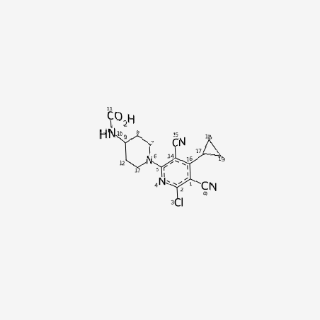 N#Cc1c(Cl)nc(N2CCC(NC(=O)O)CC2)c(C#N)c1C1CC1